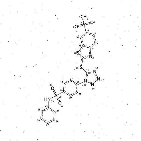 CS(=O)(=O)c1ccc2nc(Sc3nnnn3-c3ccc(S(=O)(=O)Nc4ccccc4)cc3)sc2c1